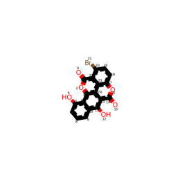 O=c1oc2c3c(O)cccc3c(O)c3c(=O)oc4ccc(Br)c1c4c32